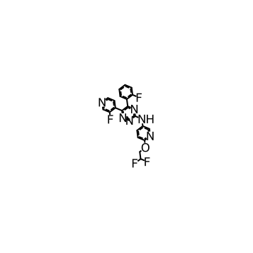 Fc1cnccc1-c1nnc(Nc2ccc(OCC(F)F)nc2)nc1-c1ccccc1F